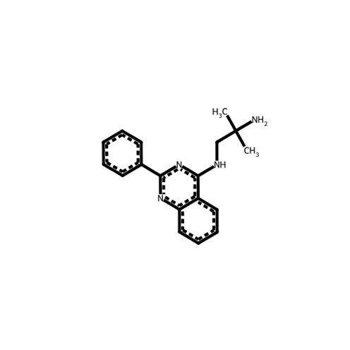 CC(C)(N)CNc1nc(-c2ccccc2)nc2ccccc12